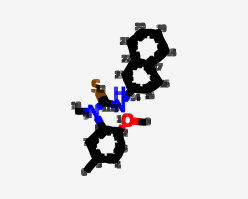 COc1ccc(C)cc1N(C)C(=S)Nc1ccc2ccccc2c1